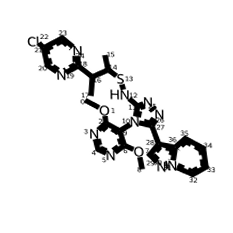 COc1ncnc(OC)c1-n1c(NSC(C)C(C)c2ncc(Cl)cn2)nnc1-c1cnn2ccccc12